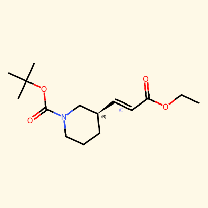 CCOC(=O)/C=C/[C@H]1CCCN(C(=O)OC(C)(C)C)C1